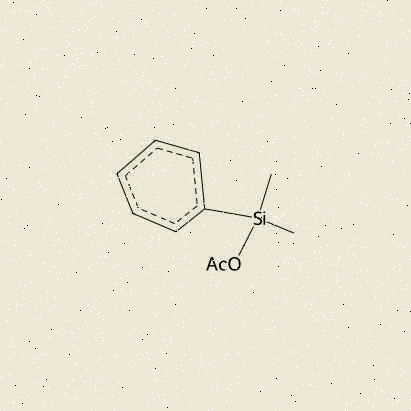 CC(=O)O[Si](C)(C)c1ccccc1